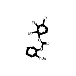 CCCCc1ccccc1OC(=O)Oc1ccc(CC)c(CC)c1CC